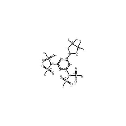 CC1(C)OB(c2cc(N(S(C)(=O)=O)S(C)(=O)=O)cc(N(S(C)(=O)=O)S(C)(=O)=O)c2)OC1(C)C